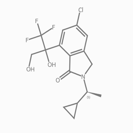 C[C@@H](C1CC1)N1Cc2cc(Cl)cc(C(O)(CO)C(F)(F)F)c2C1=O